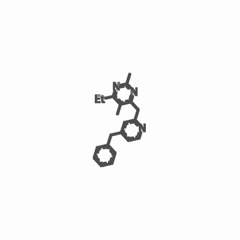 CCc1nc(C)nc(Cc2cc(Cc3ccccc3)ccn2)c1C